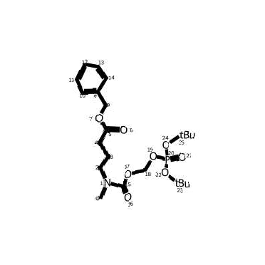 CN(CCCC(=O)OCc1ccccc1)C(=O)OCOP(=O)(OC(C)(C)C)OC(C)(C)C